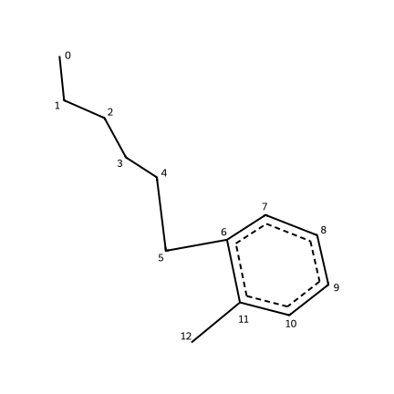 CCCCCCc1ccccc1C